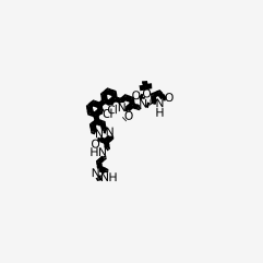 COc1nc(-c2cccc(-c3cccc(-c4ccn5c(=O)c(CNCCc6c[nH]cn6)cnc5c4)c3Cl)c2Cl)ccc1CN(C[C@@H]1CCC(=O)N1)C(=O)OC(C)(C)C